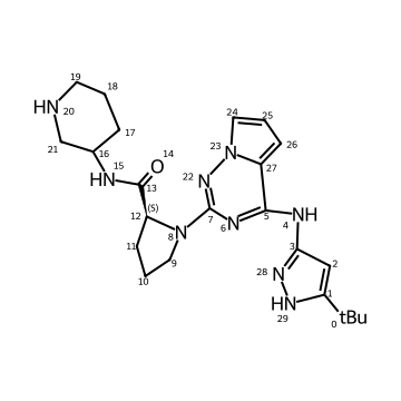 CC(C)(C)c1cc(Nc2nc(N3CCC[C@H]3C(=O)NC3CCCNC3)nn3cccc23)n[nH]1